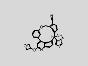 Cn1cncc1[C@@]1(N)c2ccc(C#N)c(c2)COc2cccc(c2)-c2cc(OC3COC3)nc3ccc1cc23